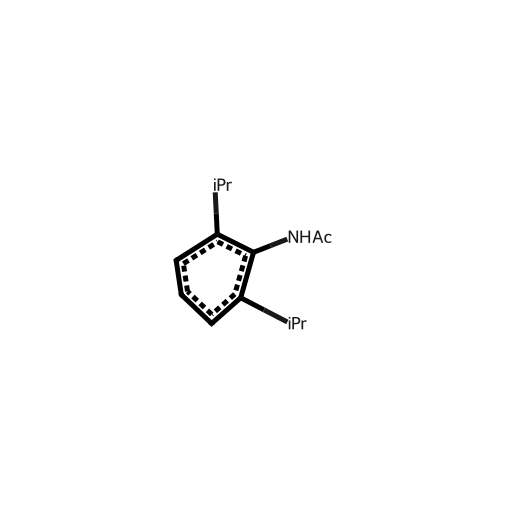 [CH2]C(=O)Nc1c(C(C)C)cccc1C(C)C